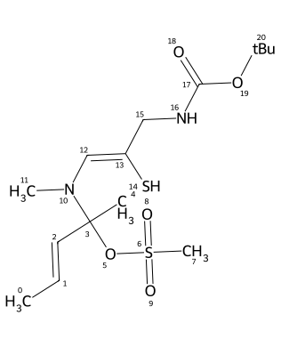 CC=CC(C)(OS(C)(=O)=O)N(C)/C=C(\S)CNC(=O)OC(C)(C)C